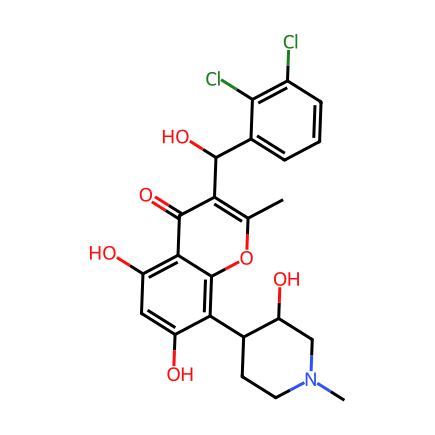 Cc1oc2c(C3CCN(C)CC3O)c(O)cc(O)c2c(=O)c1C(O)c1cccc(Cl)c1Cl